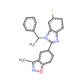 Cc1noc2ccc(-c3nc4ccc(F)cc4n3C(C)c3ccccc3)cc12